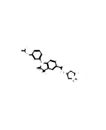 C[C@H]1C[C@@H](NC(=O)c2ccc3c(c2)C(C)(C)C(=O)N3c2cccc(OC(F)F)c2)CS1(=O)=O